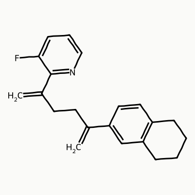 C=C(CCC(=C)c1ncccc1F)c1ccc2c(c1)CCCC2